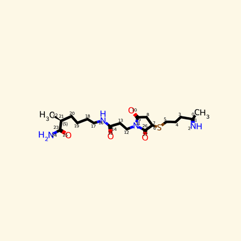 CC(=N)CCCSC1CC(=O)N(CCC(=O)NCCCC[C@H](C)C(N)=O)C1=O